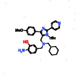 CCCCn1c(-c2ccncc2)nc(-c2ccc(OC)cc2)c1CN(Cc1ccc(N)c(O)c1)CC1CCCCC1